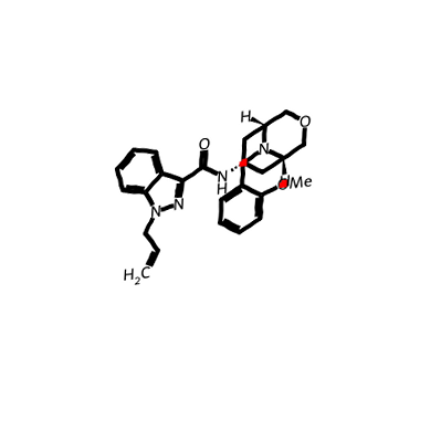 C=CCn1nc(C(=O)N[C@H]2C[C@H]3COC[C@@H](C2)N3Cc2ccccc2OC)c2ccccc21